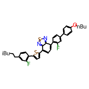 CCCCOc1ccc(-c2ccc(-c3ccc(-c4ccc(-c5ccc(CCC(C)CC)cc5F)s4)c4nsnc34)c(F)c2)cc1